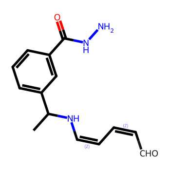 CC(N/C=C\C=C/C=O)c1cccc(C(=O)NN)c1